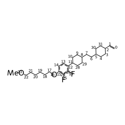 C=CC1CCC(CCC2CCC(c3ccc(OCCCCCCOC)c(F)c3F)CC2)CC1